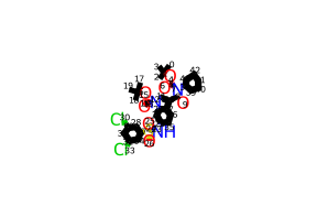 CC(C)(C)OC(=O)N(C(=O)c1cn(C(=O)OC(C)(C)C)c2cc(NS(=O)(=O)c3cc(Cl)cc(Cl)c3)ccc12)c1ccccc1